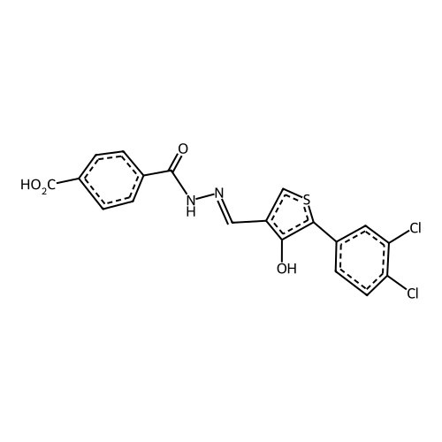 O=C(O)c1ccc(C(=O)NN=Cc2csc(-c3ccc(Cl)c(Cl)c3)c2O)cc1